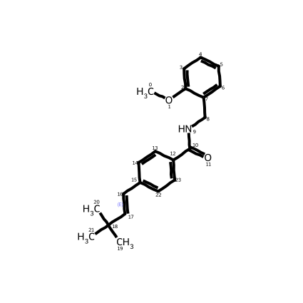 COc1ccccc1CNC(=O)c1ccc(/C=C/C(C)(C)C)cc1